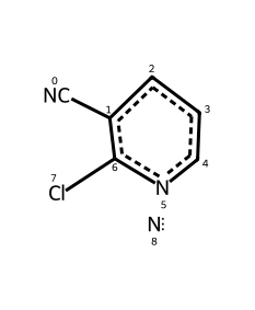 N#Cc1cccnc1Cl.[N]